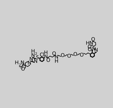 C[C@@H]1OCC2(CCN(c3cnc(Sc4cccc(NC(=O)CCC(=O)NCCOCCOCCOCCOCCCc5cccc6cnn(C7CCC(=O)NC7=O)c(=O)c56)c4Cl)c(N)n3)CC2)[C@@H]1N